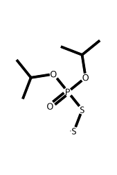 CC(C)OP(=O)(OC(C)C)S[S]